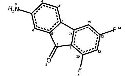 Nc1ccc2c(c1)C(=O)c1c(F)cc(F)cc1-2